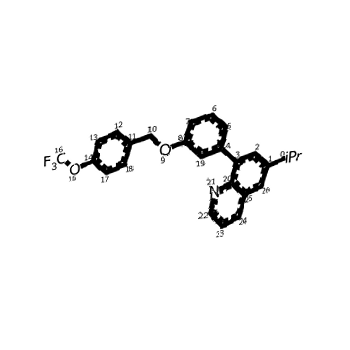 CC(C)c1cc(-c2cccc(OCc3ccc(OC(F)(F)F)cc3)c2)c2ncccc2c1